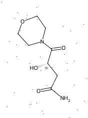 NC(=O)C[C@H](O)C(=O)N1CCOCC1